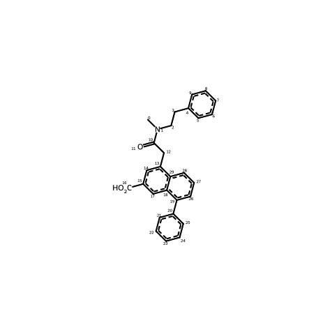 CN(CCc1ccccc1)C(=O)Cc1cc(C(=O)O)cc2c(-c3ccccc3)cccc12